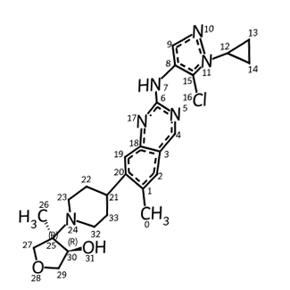 Cc1cc2cnc(Nc3cnn(C4CC4)c3Cl)nc2cc1C1CCN([C@]2(C)COC[C@@H]2O)CC1